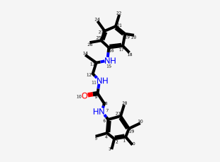 Cc1c(C)c(C)c(NCC(=O)NCC(C)Nc2c(C)c(C)c(C)c(C)c2C)c(C)c1C